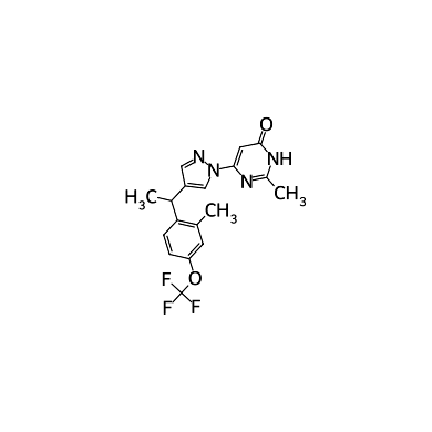 Cc1nc(-n2cc(C(C)c3ccc(OC(F)(F)F)cc3C)cn2)cc(=O)[nH]1